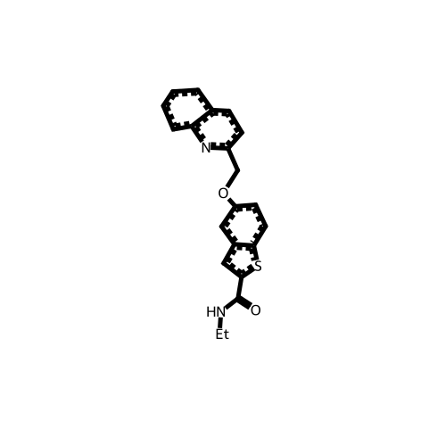 CCNC(=O)c1cc2cc(OCc3ccc4ccccc4n3)ccc2s1